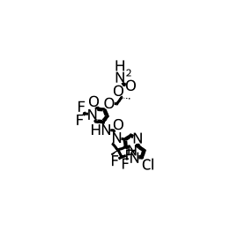 C[C@H](COc1cc(NC(=O)N2C[C@@](C)(C(F)(F)F)c3c2cnc2cc(Cl)nn32)cn(C(F)F)c1=O)OC(N)=O